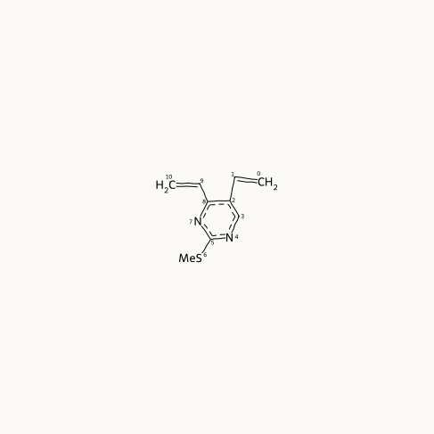 C=Cc1cnc(SC)nc1C=C